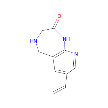 C=Cc1cnc2c(c1)CNCC(=O)N2